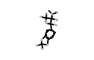 [2H]N(C)C([2H])(C([2H])([2H])[2H])C([2H])([2H])c1ccc2c(c1)OC([2H])([2H])O2